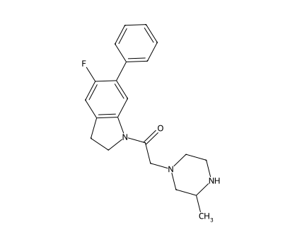 CC1CN(CC(=O)N2CCc3cc(F)c(-c4ccccc4)cc32)CCN1